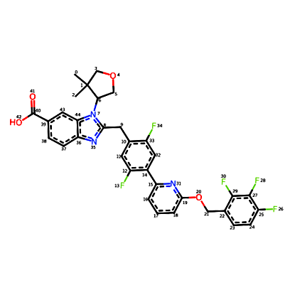 CC1(C)COCC1n1c(Cc2cc(F)c(-c3cccc(OCc4ccc(F)c(F)c4F)n3)cc2F)nc2ccc(C(=O)O)cc21